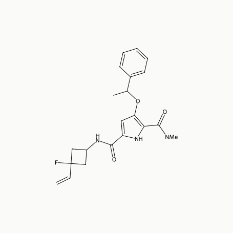 C=CC1(F)CC(NC(=O)c2cc(OC(C)c3ccccc3)c(C(=O)NC)[nH]2)C1